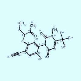 CCC(Sc1cc(-n2c(=O)cc(C(F)(F)F)n(C)c2=O)c(F)cc1C#N)C(C)=O